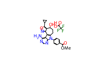 COC(=O)c1ccc(-n2c3c(c4c(N)ncnc42)-c2noc(C4CC4)c2C(O)CC3)cc1.O=C(O)C(F)(F)F